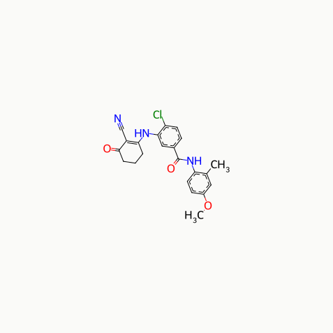 COc1ccc(NC(=O)c2ccc(Cl)c(NC3=C(C#N)C(=O)CCC3)c2)c(C)c1